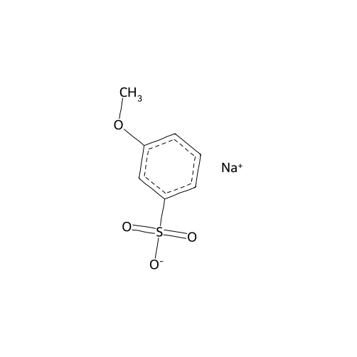 COc1cccc(S(=O)(=O)[O-])c1.[Na+]